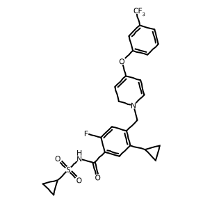 O=C(NS(=O)(=O)C1CC1)c1cc(C2CC2)c(CN2C=CC(Oc3cccc(C(F)(F)F)c3)=CC2)cc1F